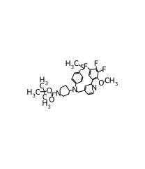 COc1c(-c2cc(CN(c3ccc(SC)cc3)C3CCN(C(=O)OC(C)(C)C)CC3)ccn2)cc(F)c(F)c1F